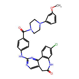 COc1cccc(N2CCN(C(=O)c3ccc(Nc4ncc5c(n4)-c4ccc(Cl)cc4NC(=O)C5)cc3)CC2)c1